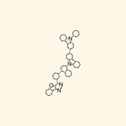 c1ccc(-n2c3ccccc3c3cc(-c4ccc5c(c4)c4ccccc4n5-c4ccc(-c5cccc(-c6ncnc7c6oc6ccccc67)c5)c5ccccc45)ccc32)cc1